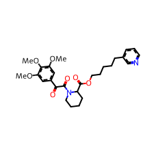 COc1cc(C(=O)C(=O)N2CCCCC2C(=O)OCCCCCc2cccnc2)cc(OC)c1OC